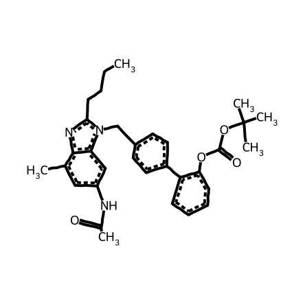 CCCCc1nc2c(C)cc(NC(C)=O)cc2n1Cc1ccc(-c2ccccc2OC(=O)OC(C)(C)C)cc1